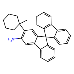 CC1(c2cc3c(cc2N)-c2ccccc2C32C3=C(C=CCC3)c3ccccc32)CCCCC1